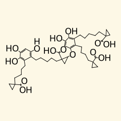 O=C(O)C1(CCCCCc2c(O)c(O)cc(OC3CC3(CCCCCc3c(O)cc(O)c(O)c3CCCCC3(C(=O)O)CC3)C(=O)O)c2CCCCC2(C(=O)O)CC2)CC1